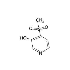 CS(=O)(=O)c1ccncc1O